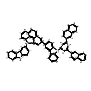 c1ccc2cc(-c3nc(-c4ccc5ccccc5c4)nc(-n4c5ccccc5c5cc(-c6cc7ccc8cccc9c8c7c(c6)n9-c6ccc7sc8ccccc8c7c6)ccc54)n3)ccc2c1